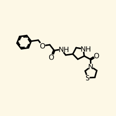 O=C(COCc1ccccc1)NCC1CNC(C(=O)N2CCSC2)C1